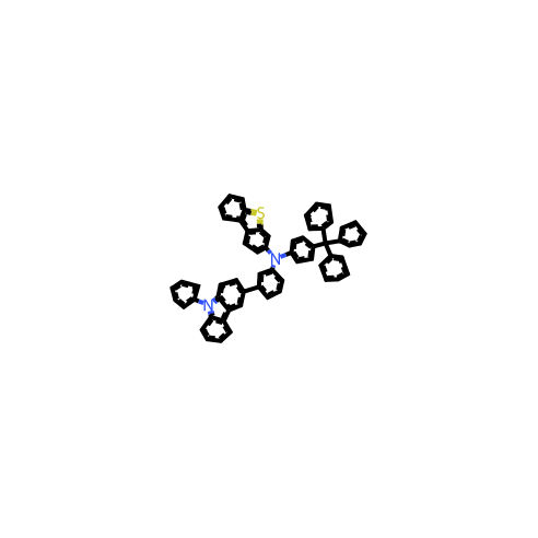 c1ccc(-n2c3ccccc3c3cc(-c4cccc(N(c5ccc(C(c6ccccc6)(c6ccccc6)c6ccccc6)cc5)c5ccc6c(c5)sc5ccccc56)c4)ccc32)cc1